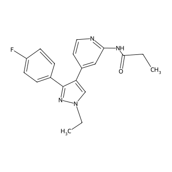 CCC(=O)Nc1cc(-c2cn(CC)nc2-c2ccc(F)cc2)ccn1